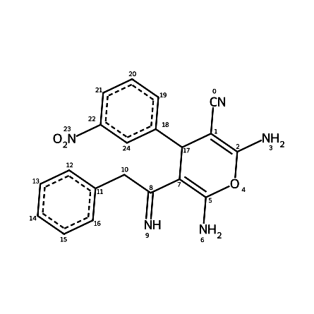 N#CC1=C(N)OC(N)=C(C(=N)Cc2ccccc2)C1c1cccc([N+](=O)[O-])c1